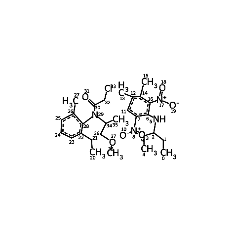 CCC(CC)Nc1c([N+](=O)[O-])cc(C)c(C)c1[N+](=O)[O-].CCc1cccc(C)c1N(C(=O)CCl)C(C)COC